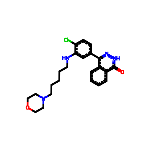 O=c1[nH]nc(-c2ccc(Cl)c(NCCCCCN3CCOCC3)c2)c2ccccc12